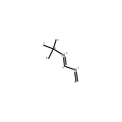 C=N/C=N/C(C)(C)C